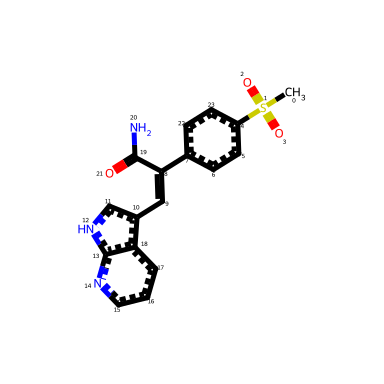 CS(=O)(=O)c1ccc(/C(=C/c2c[nH]c3ncccc23)C(N)=O)cc1